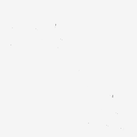 Nc1nc(O)c2c(n1)NCC(CCc1ccc(C(=O)N[C@H](CCC(=O)O)C(=O)N[C@H](CC(=O)O)C(=O)O)cc1)C2